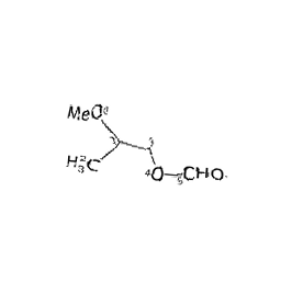 COC(C)CO[C]=O